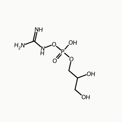 N=C(N)NOP(=O)(O)OCC(O)CO